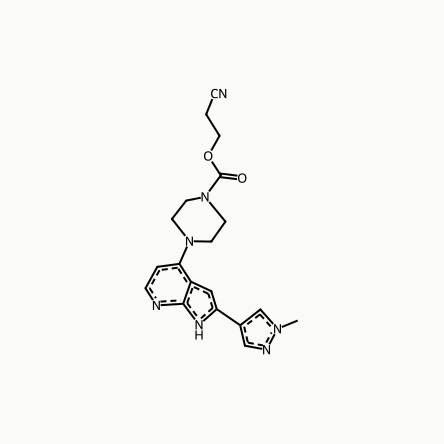 Cn1cc(-c2cc3c(N4CCN(C(=O)OCCC#N)CC4)ccnc3[nH]2)cn1